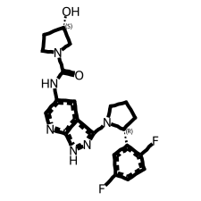 O=C(Nc1cnc2[nH]nc(N3CCC[C@@H]3c3cc(F)ccc3F)c2c1)N1CC[C@H](O)C1